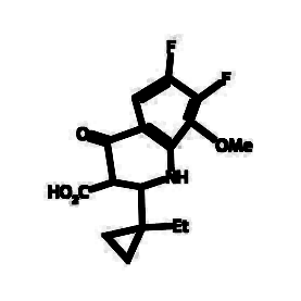 CCC1(C2Nc3c(cc(F)c(F)c3OC)C(=O)C2C(=O)O)CC1